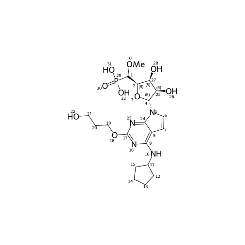 COC([C@@H]1O[C@@H](n2ccc3c(NC4CCCC4)nc(OCCCO)nc32)[C@H](O)[C@@H]1O)P(=O)(O)O